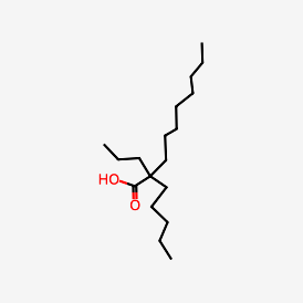 CCCCCCCCC(CCC)(CCCCC)C(=O)O